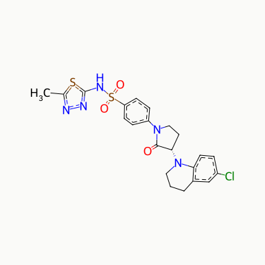 Cc1nnc(NS(=O)(=O)c2ccc(N3CC[C@H](N4CCCc5cc(Cl)ccc54)C3=O)cc2)s1